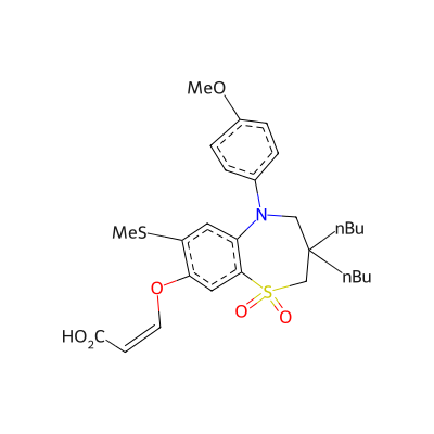 CCCCC1(CCCC)CN(c2ccc(OC)cc2)c2cc(SC)c(O/C=C\C(=O)O)cc2S(=O)(=O)C1